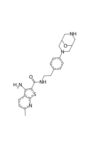 Cc1ccc2c(N)c(C(=O)NCCc3ccc(N4CC5CNCC(C4)O5)cc3)sc2n1